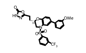 COc1cccc(-c2ccc3c(c2)N(S(=O)(=O)c2cccc(C(F)(F)F)c2)C[C@H](CCc2n[nH]c(=O)o2)O3)c1